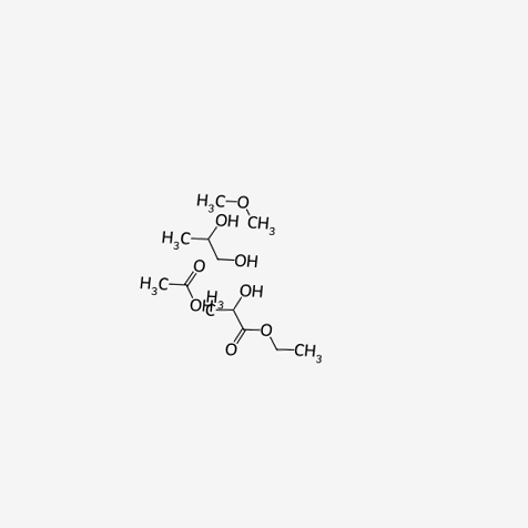 CC(=O)O.CC(O)CO.CCOC(=O)C(C)O.COC